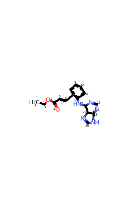 CCOC(=O)/C=C/c1ccccc1NC1N=CN=C2NC=NC21